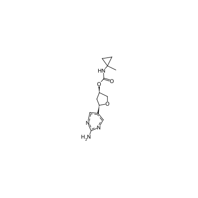 CC1(NC(=O)O[C@H]2CO[C@@H](c3cnc(N)nc3)C2)CC1